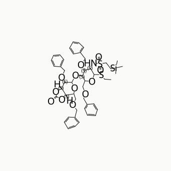 CCSC1OC(COCc2ccccc2)[C@@H](OC2OC(COCc3ccccc3)[C@@H]3OC(=O)O[C@@H]3[C@@H]2OCc2ccccc2)[C@@H](OCc2ccccc2)[C@@H]1NS(=O)(=O)CC[Si](C)(C)C